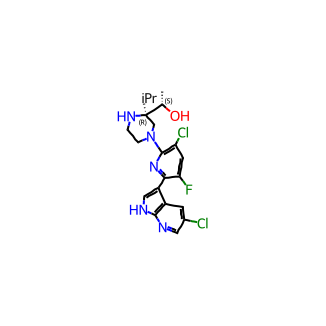 CC(C)[C@]1([C@H](C)O)CN(c2nc(-c3c[nH]c4ncc(Cl)cc34)c(F)cc2Cl)CCN1